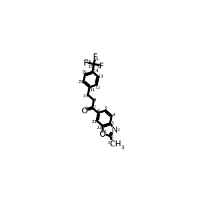 Cc1nc2ccc(C(=O)CCc3ccc(C(F)(F)F)cc3)cc2o1